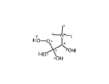 C[N+](C)(C)C(O)C(O)(O)OO